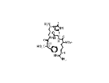 CNC(CCCNC(=N)N)C(=O)N[C@@H](Cc1c[nH]c(=S)[nH]1)C(=O)N[C@@H](CCCCN)C(=O)N[C@@H](Cc1ccccc1)C(=O)O